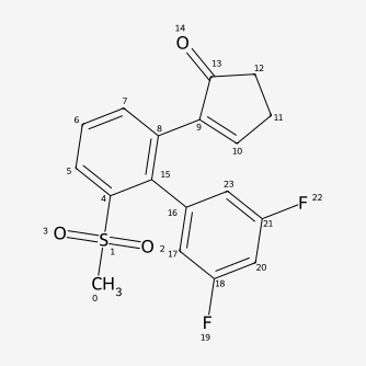 CS(=O)(=O)c1cccc(C2=CCCC2=O)c1-c1cc(F)cc(F)c1